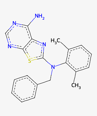 Cc1cccc(C)c1N(Cc1ccccc1)c1nc2c(N)ncnc2s1